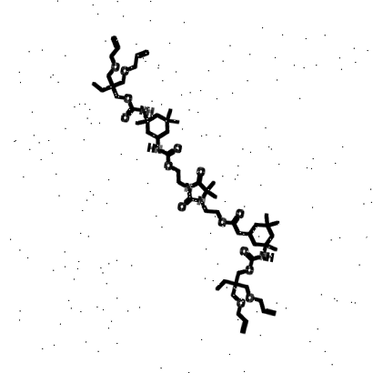 C=CCOCC(CC)(COCC=C)COC(=O)NC1(C)CC(CC(=O)OCCN2C(=O)N(CCOC(=O)NC3CC(C)(C)CC(C)(NC(=O)OCC(CC)(COCC=C)COCC=C)C3)C(=O)C2(C)C)CC(C)(C)C1